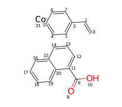 C=Cc1ccccc1.O=C(O)c1cccc2ccccc12.[Co]